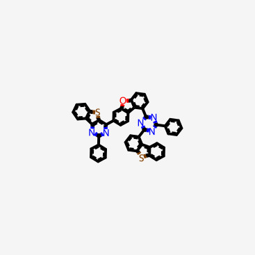 c1ccc(-c2nc(-c3cccc4oc5cc(-c6nc(-c7ccccc7)nc7c6sc6ccccc67)ccc5c34)nc(-c3cccc4sc5ccccc5c34)n2)cc1